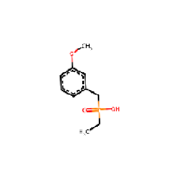 CCP(=O)(O)Cc1cccc(OC)c1